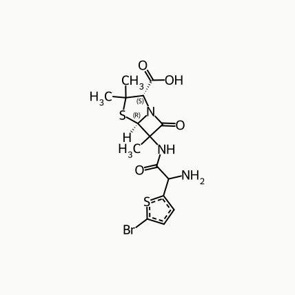 CC1(C)S[C@H]2N(C(=O)C2(C)NC(=O)C(N)c2ccc(Br)s2)[C@H]1C(=O)O